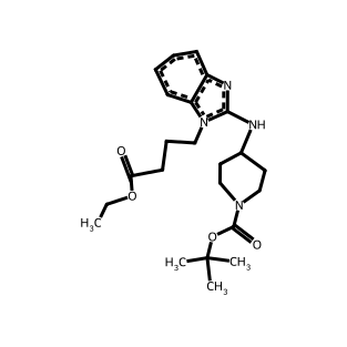 CCOC(=O)CCCn1c(NC2CCN(C(=O)OC(C)(C)C)CC2)nc2ccccc21